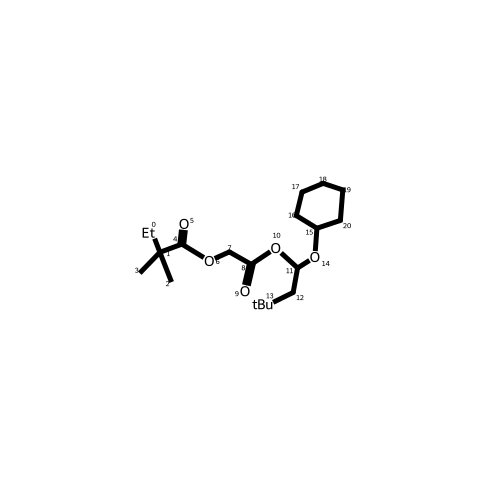 CCC(C)(C)C(=O)OCC(=O)OC(CC(C)(C)C)OC1CCCCC1